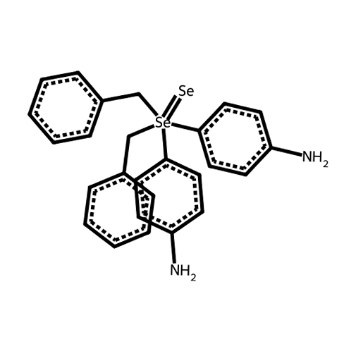 Nc1ccc([Se](=[Se])(Cc2ccccc2)(Cc2ccccc2)c2ccc(N)cc2)cc1